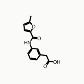 Cc1ccc(C(=O)Nc2cccc(CC(=O)O)c2)o1